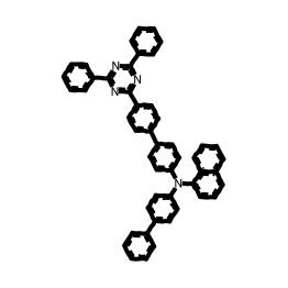 c1ccc(-c2ccc(N(c3ccc(-c4ccc(-c5nc(-c6ccccc6)nc(-c6ccccc6)n5)cc4)cc3)c3cccc4ccccc34)cc2)cc1